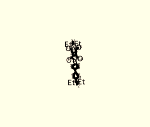 CCC(C)(CC)c1ccc(-c2ccc(N3C(=O)C4C(C3=O)C3C(=O)N(C(C)(CC)CC)C(=O)C43)cc2)cc1